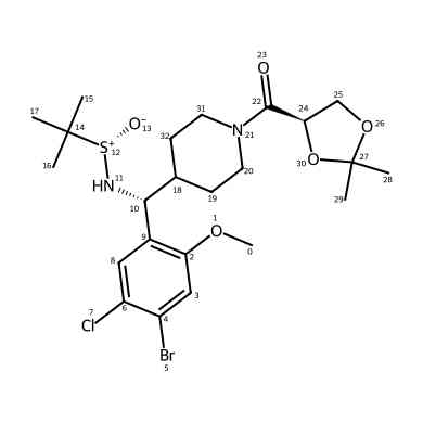 COc1cc(Br)c(Cl)cc1[C@H](N[S@@+]([O-])C(C)(C)C)C1CCN(C(=O)[C@H]2COC(C)(C)O2)CC1